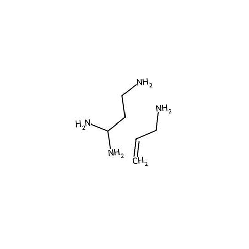 C=CCN.NCCC(N)N